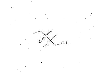 CCS(=O)(=O)C(C)(C)CO